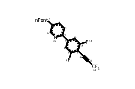 CCCCCc1ccc(-c2cc(F)c(C#CC(F)(F)F)c(F)c2)nc1